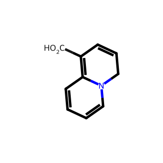 O=C(O)C1=C2C=CC=CN2CC=C1